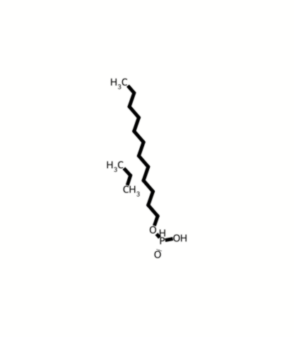 CCC.CCCCCCCCCCCCO[PH](=O)O